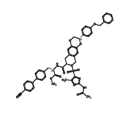 COC(=O)[C@H](Cc1ccc(-c2ccc(C#N)cc2)cc1)NC(=O)C1Cc2cc3c(cc2CN1S(=O)(=O)c1sc(NC(C)=O)nc1C)O[C@@H](c1ccc(OCc2ccccc2)cc1)CO3